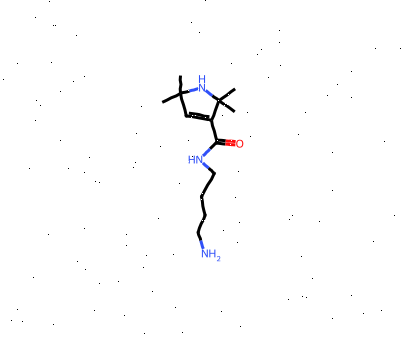 CC1(C)C=C(C(=O)NCCCCN)C(C)(C)N1